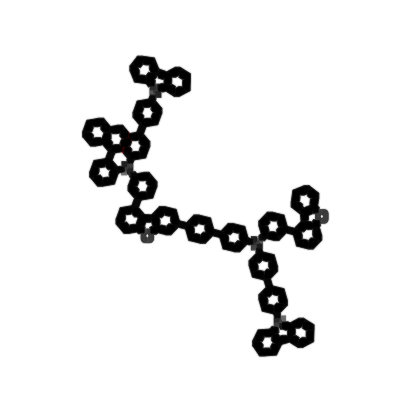 c1cc(-c2cccc3oc4ccccc4c23)cc(N(c2ccc(-c3ccc(-c4ccc5c(c4)oc4cccc(-c6cccc(N(c7ccc(-c8ccc(-n9c%10ccccc%10c%10ccccc%109)cc8)cc7)c7ccccc7-c7cccc8ccccc78)c6)c45)cc3)cc2)c2ccc(-c3ccc(-n4c5ccccc5c5ccccc54)cc3)cc2)c1